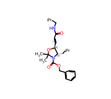 CC(C)CNC(=O)/C=C/[C@@H]1OC(C)(C)N(C(=O)OCc2ccccc2)[C@H]1CC(C)C